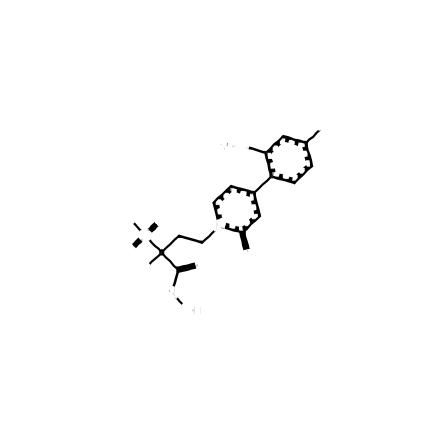 COc1cc(F)ccc1-c1ccn(CCC(C)(C(=O)NO)S(C)(=O)=O)c(=O)c1